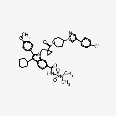 COc1ccc(-c2c(C3CCCCC3)c3ccc(C(=O)NS(=O)(=O)N(C)C)cc3n2CC2(C(=O)N3CCC(n4cc(-c5ccc(Cl)cc5)cn4)CC3)CC2)cc1